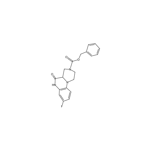 O=C1Nc2cc(F)ccc2N2CCN(C(=O)OCc3ccccc3)CC12